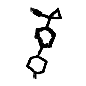 N#CC1(c2cnc(N3CCNCC3)nc2)CC1